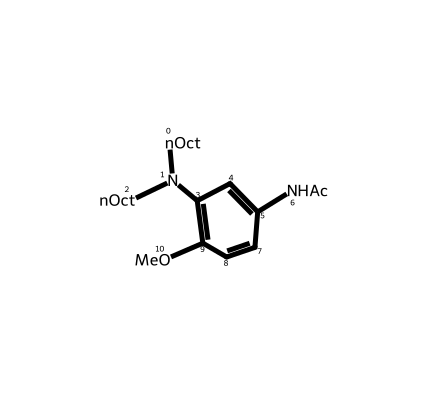 CCCCCCCCN(CCCCCCCC)c1cc(NC(C)=O)ccc1OC